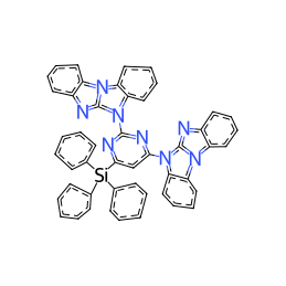 c1ccc([Si](c2ccccc2)(c2ccccc2)c2cc(-n3c4ccccc4n4c5ccccc5nc34)nc(-n3c4ccccc4n4c5ccccc5nc34)n2)cc1